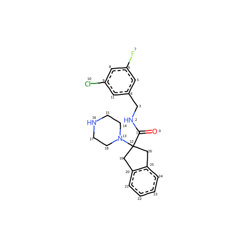 O=C(NCc1cc(F)cc(Cl)c1)C1(N2CCNCC2)Cc2ccccc2C1